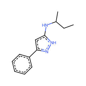 CCC(C)Nc1cc(-c2ccccc2)n[nH]1